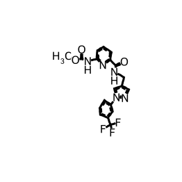 COC(=O)Nc1cccc(C(=O)NCc2cnn(-c3cccc(C(F)(F)F)c3)c2)n1